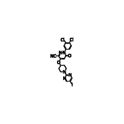 N#Cc1nn(-c2ccc(Cl)c(Cl)c2)c(=O)cc1OC1CCN(c2ncc(I)cn2)CC1